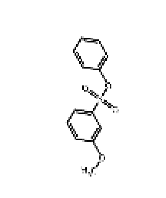 COc1cccc(S(=O)(=O)Oc2ccccc2)c1